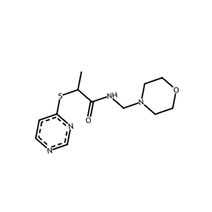 CC(Sc1ccncn1)C(=O)NCN1CCOCC1